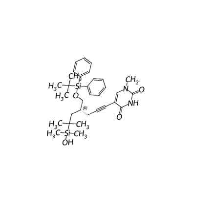 Cn1cc(C#CC[C@@H](CO[Si](c2ccccc2)(c2ccccc2)C(C)(C)C)CC(C)(C)[Si](C)(C)O)c(=O)[nH]c1=O